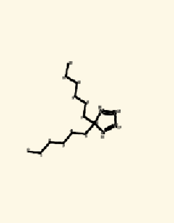 CCCCCCC1(CCCCCC)N=NN=N1